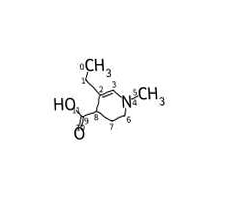 CCC1=CN(C)CCC1C(=O)O